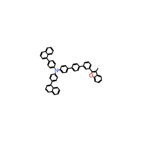 Cc1c(-c2cccc(-c3ccc(-c4ccc(N(c5ccc(-c6cccc7ccccc67)cc5)c5ccc(-c6cccc7ccccc67)cc5)cc4)cc3)c2)oc2ccccc12